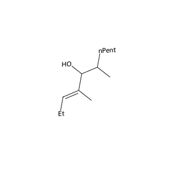 CC/C=C(\C)C(O)C(C)CCCCC